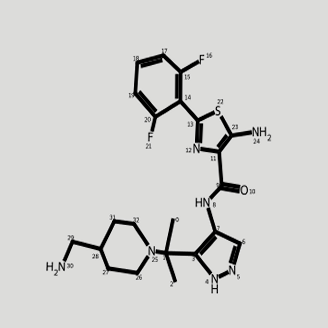 CC(C)(c1[nH]ncc1NC(=O)c1nc(-c2c(F)cccc2F)sc1N)N1CCC(CN)CC1